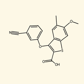 COc1cc2sc(C(=O)O)c(Oc3cccc(C#N)c3)c2cc1C